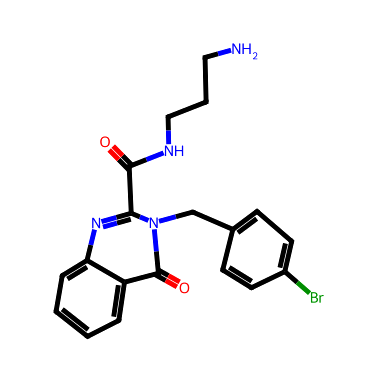 NCCCNC(=O)c1nc2ccccc2c(=O)n1Cc1ccc(Br)cc1